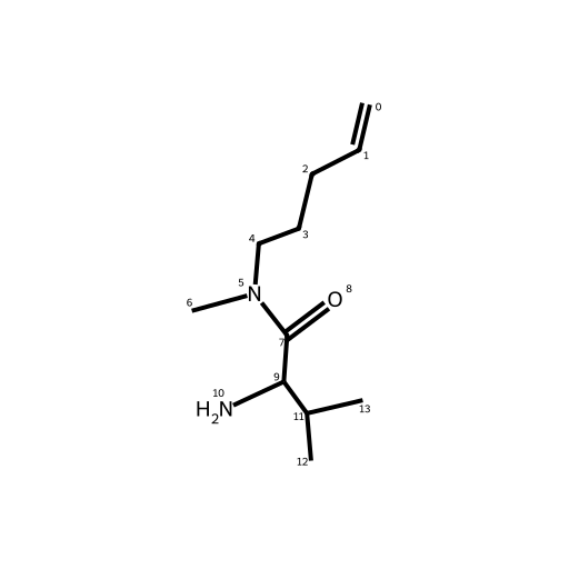 C=CCCCN(C)C(=O)C(N)C(C)C